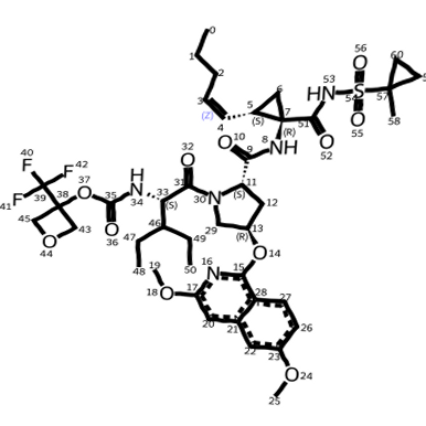 CCC/C=C\[C@@H]1C[C@]1(NC(=O)[C@@H]1C[C@@H](Oc2nc(OC)cc3cc(OC)ccc23)CN1C(=O)[C@@H](NC(=O)OC1(C(F)(F)F)COC1)C(CC)CC)C(=O)NS(=O)(=O)C1(C)CC1